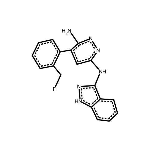 Nc1nnc(Nc2n[nH]c3ccccc23)cc1-c1ccccc1CF